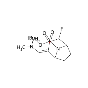 CN(C)C=C1C(=O)C(F)C2CCC1N2C(=O)OC(C)(C)C